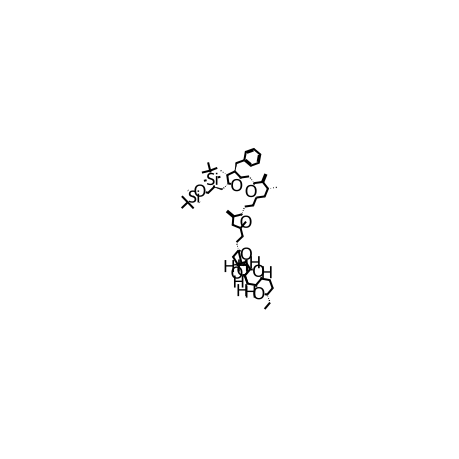 C=C1CC(CC[C@@]23C[C@H]4O[C@H]5[C@@H](O2)[C@H]2O[C@@H](CC)CC[C@@H]2O[C@H]5[C@H]4O3)O[C@H]1CCC1C[C@@H](C)C(=C)[C@@H](CC2O[C@H](C[C@@H](CO[Si](C)(C)C(C)(C)C)[Si](C)(C)C(C)(C)C)[C@H](C)[C@H]2Cc2ccccc2)O1